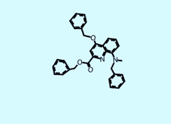 CN(Cc1ccccc1)c1cccc2c(OCc3ccccc3)cc(C(=O)OCc3ccccc3)nc12